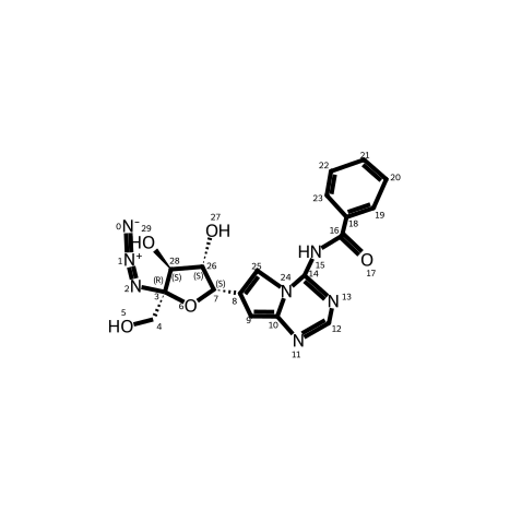 [N-]=[N+]=N[C@]1(CO)O[C@@H](c2cc3ncnc(NC(=O)c4ccccc4)n3c2)[C@@H](O)[C@@H]1O